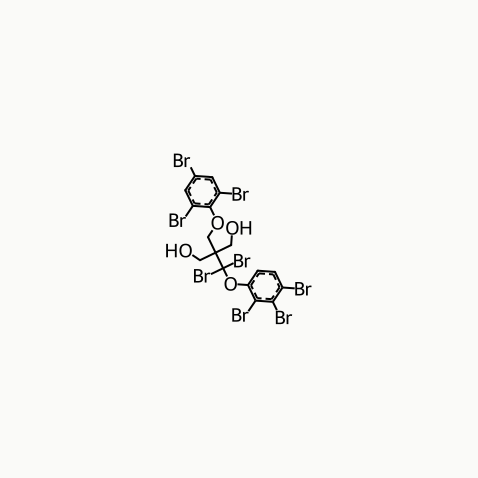 OCC(CO)(COc1c(Br)cc(Br)cc1Br)C(Br)(Br)Oc1ccc(Br)c(Br)c1Br